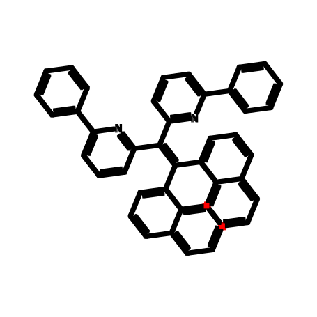 c1ccc(-c2cccc(C(=C(c3cccc4ccccc34)c3cccc4ccccc34)c3cccc(-c4ccccc4)n3)n2)cc1